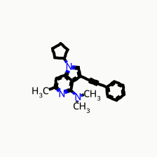 Cc1cc2c(c(C#Cc3ccccc3)cn2C2CCCC2)c(N(C)C)n1